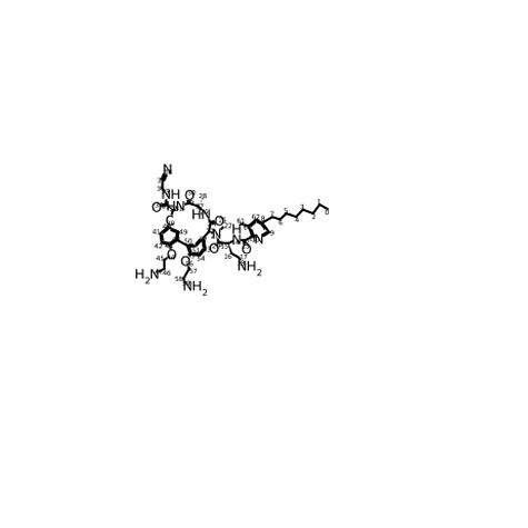 CCCCCCCCc1cnc(C(=O)N[C@@H](CCN)C(=O)N(C)[C@@H]2C(=O)N[C@@H](C)C(=O)N[C@H](C(=O)NCC#N)Cc3ccc(OCCN)c(c3)-c3cc2ccc3OCCN)c(C)c1